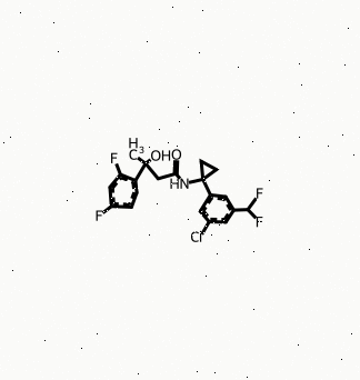 CC(O)(CC(=O)NC1(c2cc(Cl)cc(C(F)F)c2)CC1)c1ccc(F)cc1F